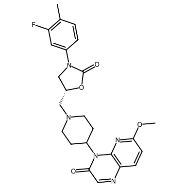 COc1ccc2ncc(=O)n(C3CCN(C[C@@H]4CN(c5ccc(C)c(F)c5)C(=O)O4)CC3)c2n1